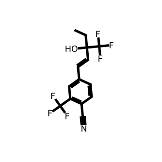 CCC(O)(/C=C/c1ccc(C#N)c(C(F)(F)F)c1)C(F)(F)F